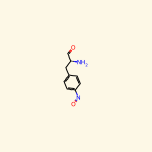 N[C@H](C=O)Cc1ccc(N=O)cc1